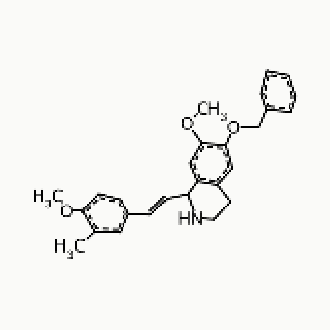 COc1ccc(C=CC2NCCc3cc(OCc4ccccc4)c(OC)cc32)cc1C